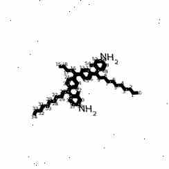 CCCCCCCCCCC(c1ccc(C(CCCC)c2ccc(C(CCCCCCCCCC)c3ccc(N)cc3C)cc2)cc1)c1ccc(N)cc1C